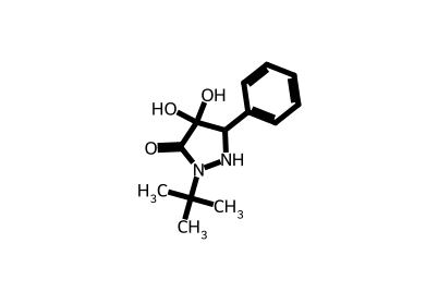 CC(C)(C)N1NC(c2ccccc2)C(O)(O)C1=O